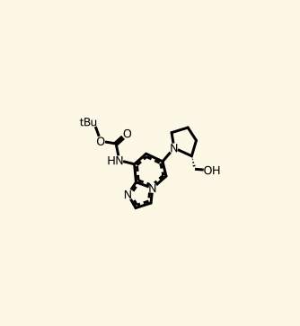 CC(C)(C)OC(=O)Nc1cc(N2CCC[C@@H]2CO)cn2ccnc12